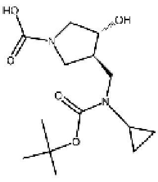 CC(C)(C)OC(=O)N(C[C@H]1CN(C(=O)O)C[C@@H]1O)C1CC1